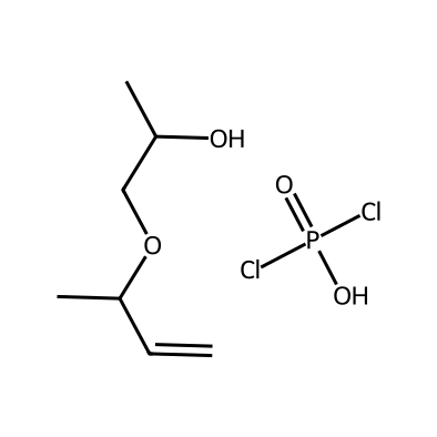 C=CC(C)OCC(C)O.O=P(O)(Cl)Cl